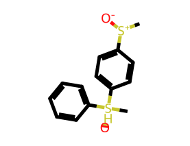 C[S+]([O-])c1ccc([SH](C)(=O)c2ccccc2)cc1